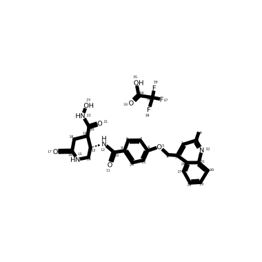 Cc1cc(COc2ccc(C(=O)N[C@@H]3CNC(=O)CC3C(=O)NO)cc2)c2ccccc2n1.O=C(O)C(F)(F)F